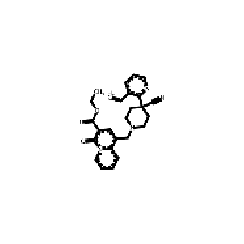 C=Cc1cccnc1C1(C#N)CCN(Cc2cc(C(=O)OCC)c(=O)n3ccccc23)CC1